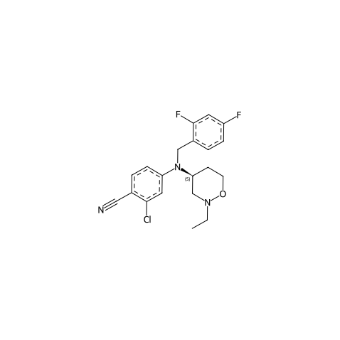 CCN1C[C@@H](N(Cc2ccc(F)cc2F)c2ccc(C#N)c(Cl)c2)CCO1